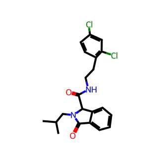 CC(C)CN1C(=O)c2ccccc2C1C(=O)NCCc1ccc(Cl)cc1Cl